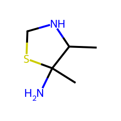 CC1NCSC1(C)N